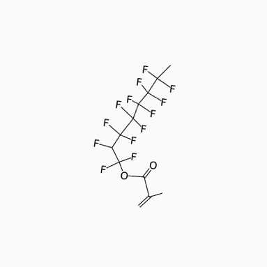 C=C(C)C(=O)OC(F)(F)C(F)C(F)(F)C(F)(F)C(F)(F)C(F)(F)C(C)(F)F